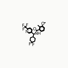 COc1cccc(C(=O)NC(c2ccc(C(F)(F)F)nc2)C2CCC(F)(F)CC2)c1C